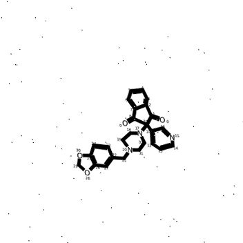 O=C1c2ccccc2C(=O)C1(c1cccnc1)N1CCN(Cc2ccc3c(c2)OCO3)CC1